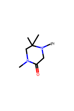 CC(C)N1CC(=O)N(C)CC1(C)C